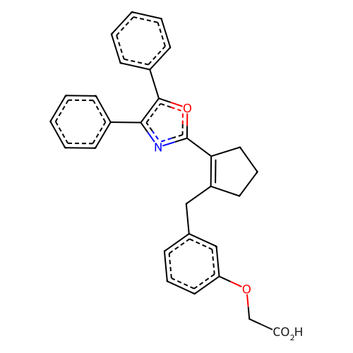 O=C(O)COc1cccc(CC2=C(c3nc(-c4ccccc4)c(-c4ccccc4)o3)CCC2)c1